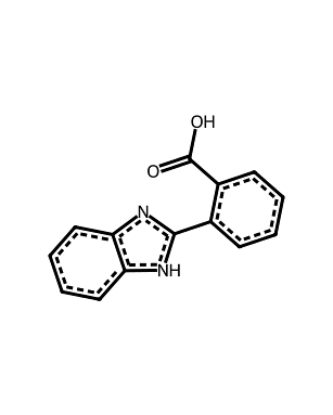 O=C(O)c1ccccc1-c1nc2ccccc2[nH]1